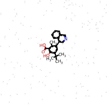 Cc1c(-c2cncc3ccccc23)cc(C(C)(C)C)c(O)c1C(=O)O